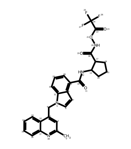 Cc1cc(Cn2ccc3c(C(=O)NC4CCCC4C(=O)NOC(=O)C(F)(F)F)cccc32)c2ccccc2n1